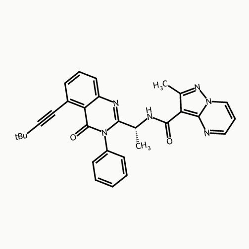 Cc1nn2cccnc2c1C(=O)N[C@H](C)c1nc2cccc(C#CC(C)(C)C)c2c(=O)n1-c1ccccc1